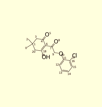 CC1(C)CC(=O)C(C(=O)COc2ccccc2Cl)=C(O)C1